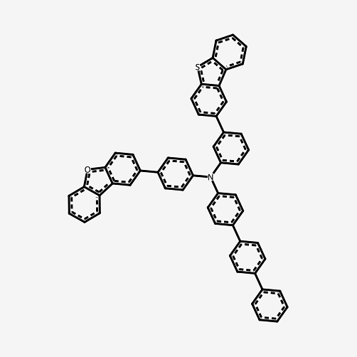 c1ccc(-c2ccc(-c3ccc(N(c4ccc(-c5ccc6oc7ccccc7c6c5)cc4)c4cccc(-c5ccc6sc7ccccc7c6c5)c4)cc3)cc2)cc1